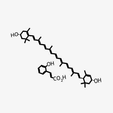 CC1=C[C@H](O)CC(C)(C)[C@H]1/C=C/C(C)=C/C=C/C(C)=C/C=C/C=C(C)/C=C/C=C(C)/C=C/C1=C(C)C[C@@H](O)CC1(C)C.O=C(O)/C=C/c1ccccc1O